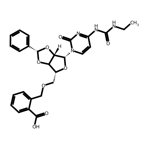 CCNC(=O)Nc1ccn([C@@H]2O[C@H](COCc3ccccc3C(=O)O)C3O[C@H](c4ccccc4)O[C@@H]32)c(=O)n1